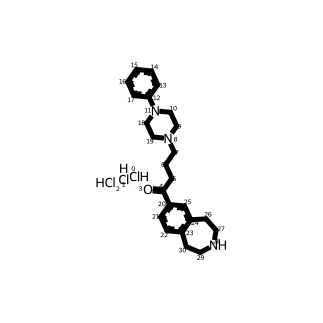 Cl.Cl.Cl.O=C(CCCN1CCN(c2ccccc2)CC1)c1ccc2c(c1)CCNCC2